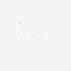 COc1cccc(-c2cccc3[nH]c(-c4n[nH]c5ccc(-c6cnccn6)nc45)nc23)c1